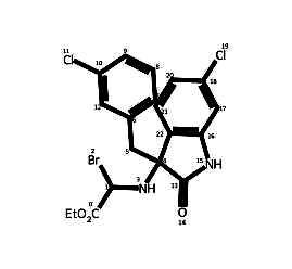 CCOC(=O)C(Br)NC1(Cc2cccc(Cl)c2)C(=O)Nc2cc(Cl)ccc21